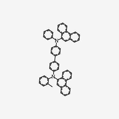 Cc1ccccc1N(c1ccc(-c2ccc(N(c3ccccc3)c3cc4ccccc4c4ccccc34)cc2)cc1)c1cc2ccccc2c2ccccc12